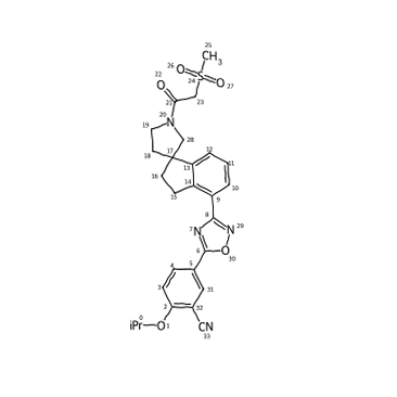 CC(C)Oc1ccc(-c2nc(-c3cccc4c3CCC43CCN(C(=O)CS(C)(=O)=O)C3)no2)cc1C#N